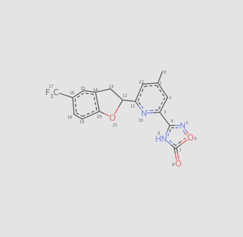 Cc1cc(-c2noc(=O)[nH]2)nc(C2Cc3cc(C(F)(F)F)ccc3O2)c1